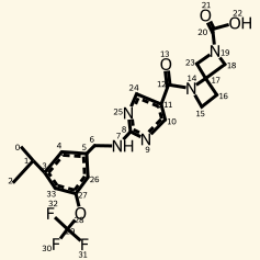 CC(C)c1cc(CNc2ncc(C(=O)N3CCC34CN(C(=O)O)C4)cn2)cc(OC(F)(F)F)c1